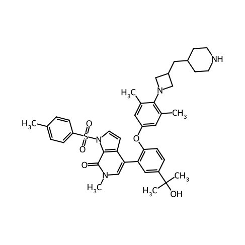 Cc1ccc(S(=O)(=O)n2ccc3c(-c4cc(C(C)(C)O)ccc4Oc4cc(C)c(N5CC(CC6CCNCC6)C5)c(C)c4)cn(C)c(=O)c32)cc1